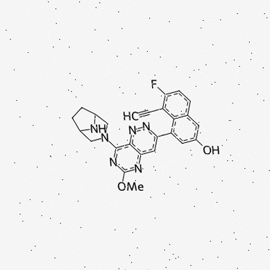 C#Cc1c(F)ccc2cc(O)cc(-c3cc4nc(OC)nc(N5CC6CCC(C5)N6)c4nn3)c12